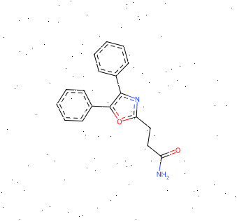 NC(=O)CCc1nc(-c2ccccc2)c(-c2ccccc2)o1